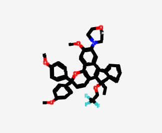 CCC1(OCC(F)(F)F)c2ccccc2-c2c1c1c(c3cc(OC)c(N4CCOCC4)cc23)OC(c2ccc(OC)cc2)(c2ccc(OC)cc2)C=C1